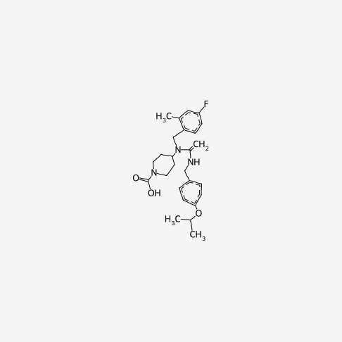 C=C(NCc1ccc(OC(C)C)cc1)N(Cc1ccc(F)cc1C)C1CCN(C(=O)O)CC1